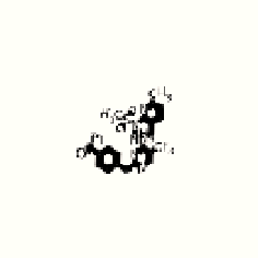 Cc1ccc(CNc2nc(Cc3ccc(C(=O)C(C)C)cc3)ncc2C(F)(F)F)c(N(C)S(C)(=O)=O)n1